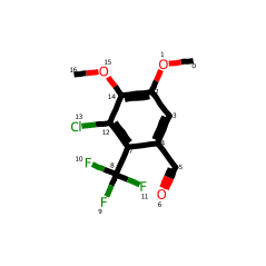 COc1cc(C=O)c(C(F)(F)F)c(Cl)c1OC